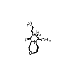 CC(C)N1CCOC[C@H]1C(=O)NCCO